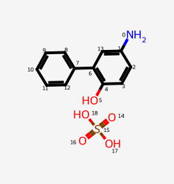 Nc1ccc(O)c(-c2ccccc2)c1.O=S(=O)(O)O